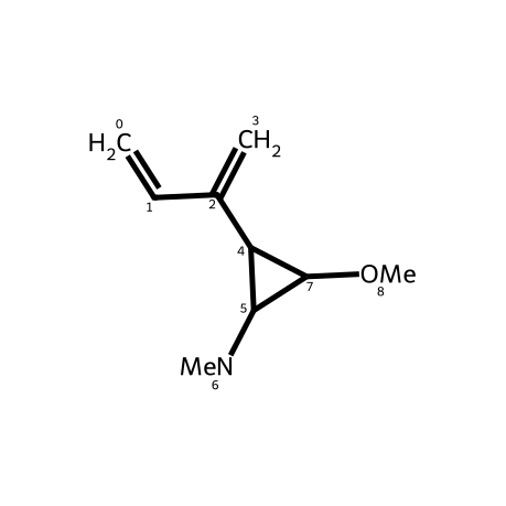 C=CC(=C)C1C(NC)C1OC